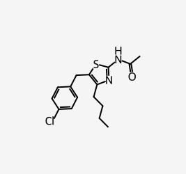 CCCCc1nc(NC(C)=O)sc1Cc1ccc(Cl)cc1